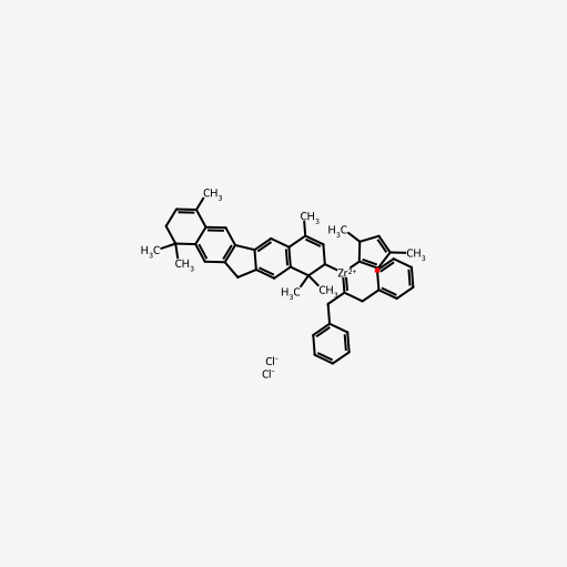 CC1=CC(C)[C]([Zr+2](=[C](Cc2ccccc2)Cc2ccccc2)[CH]2C=C(C)c3cc4c(cc3C2(C)C)Cc2cc3c(cc2-4)C(C)=CCC3(C)C)=C1.[Cl-].[Cl-]